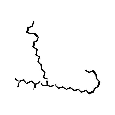 CC/C=C\C/C=C\C/C=C\CCCCCCCCOCC(COC(=O)CCCN(C)C)OCCCCCCCC/C=C\C/C=C\C/C=C\CC